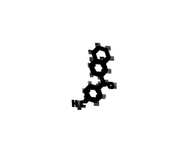 Cc1ccc([S+]([O-])c2ccc3c(c2)CCCC3)cc1